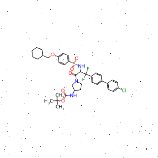 CC(C)(C)OC(=O)N[C@@H]1CCN(C(=O)C(NS(=O)(=O)c2ccc(OCC3CCCCC3)cc2)C(F)(F)c2ccc(-c3ccc(Cl)cc3)cc2)C1